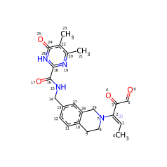 C/C=C(/C(=O)C=O)N1CCc2ccc(CNC(=O)c3nc(C)c(C)c(=O)[nH]3)cc2C1